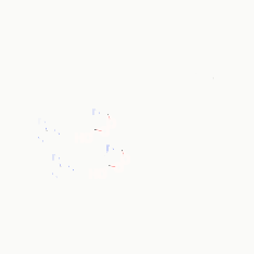 CCCCCCCCCCCC(=O)NC(CCCNC(=N)N)C(=O)O.CCCCCCCCCCCC(=O)NC(CCCNC(=N)N)C(=O)O